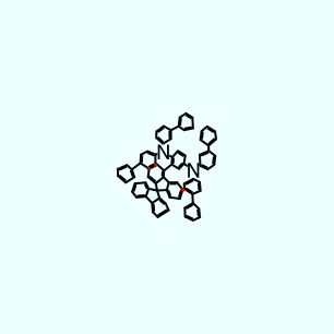 c1ccc(-c2ccc(N(c3cccc(-c4ccccc4)c3)c3ccc(N(c4ccc(-c5ccccc5)cc4)c4cccc(-c5ccccc5)c4)c(-c4cccc5c4-c4ccccc4C54c5ccccc5-c5ccccc54)c3)cc2)cc1